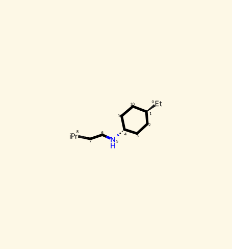 CC[C@H]1CC[C@H](NCCC(C)C)CC1